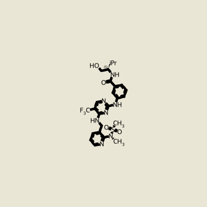 CC(C)[C@@H](CO)NC(=O)c1cccc(Nc2ncc(C(F)(F)F)c(NCc3cccnc3N(C)S(C)(=O)=O)n2)c1